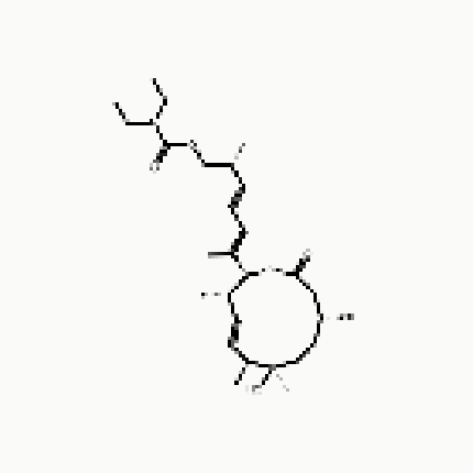 CCN(CC)C(=O)OC[C@H](C)/C=C/C=C(\C)[C@H]1OC(=O)C[C@H](O)CC[C@@](C)(O)[C@@H](C)/C=C/[C@@H]1C